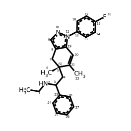 CCNC(C[C@]1(C)Cc2cnn(-c3ccc(F)cc3)c2C=C1C)c1ccccc1